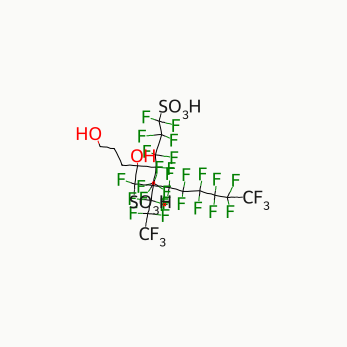 O=S(=O)(O)C(F)(F)C(F)(F)C(F)(F)C(F)(C(F)(F)C(F)(F)C(F)(F)C(F)(F)F)C(O)(CCCO)C(F)(C(F)(F)C(F)(F)C(F)(F)C(F)(F)C(F)(F)C(F)(F)C(F)(F)F)S(=O)(=O)O